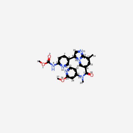 COC(=O)Nc1ccc(-c2cnc3c(C)cc(C(=O)N(C)c4ccnc(OC)c4)cn23)cn1